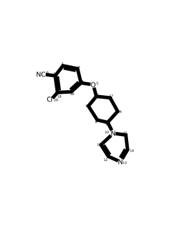 N#Cc1ccc(OC2CCC(N3C=CN=CC3)CC2)cc1Cl